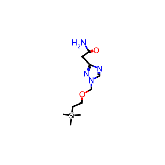 C[Si](C)(C)CCOCn1cnc(CC(N)=O)n1